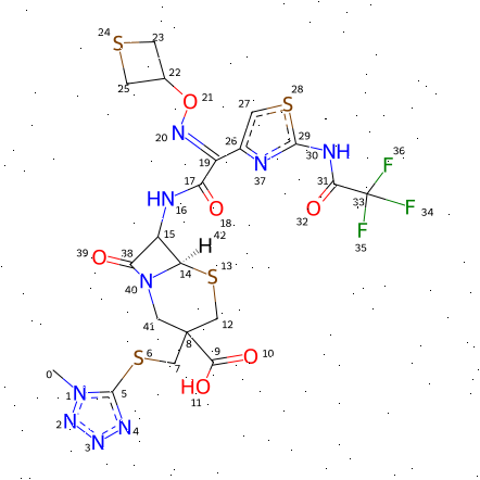 Cn1nnnc1SCC1(C(=O)O)CS[C@@H]2C(NC(=O)C(=NOC3CSC3)c3csc(NC(=O)C(F)(F)F)n3)C(=O)N2C1